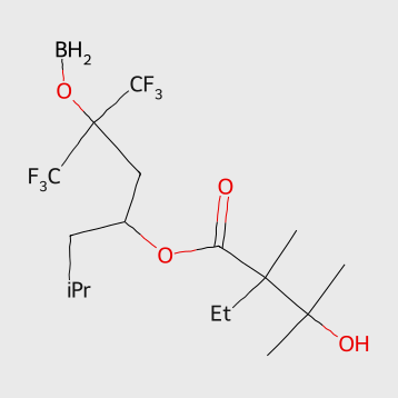 BOC(CC(CC(C)C)OC(=O)C(C)(CC)C(C)(C)O)(C(F)(F)F)C(F)(F)F